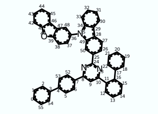 c1ccc(-c2ccc(-c3cc(-c4ccccc4-c4ccccc4)nc(-c4ccc5c6ccccc6n(-c6ccc7oc8ccccc8c7c6)c5c4)n3)cc2)cc1